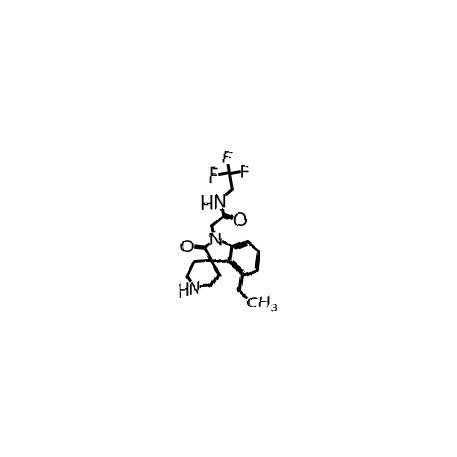 CCc1cccc2c1C1(CCNCC1)C(=O)N2CC(=O)NCC(F)(F)F